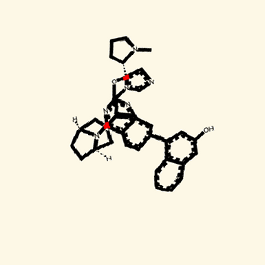 CN1CCC[C@H]1COc1nc(N2[C@@H]3CC[C@H]2CN(C(=O)Cn2ccnc2)C3)c2ccc(-c3cc(O)cc4ccccc34)cc2n1